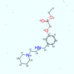 CCOC(=O)COc1cccc(CNCCN2CCCCC2)c1